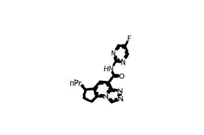 CCCC1CCc2c1cc(C(=O)Nc1ncc(F)cn1)c1nncn21